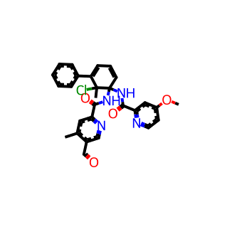 COc1ccnc(C(=O)NC2(NC(=O)c3cc(C)c(C=O)cn3)C=CC=C(c3ccccc3)C2(C)Cl)c1